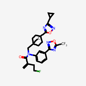 C=C(CCF)C(=O)N(CC12CCC(c3nc(C4CC4)no3)(CC1)CC2)c1cccc(-c2noc(C(F)(F)F)n2)c1